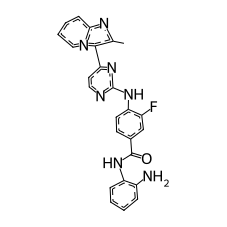 Cc1nc2ccccn2c1-c1ccnc(Nc2ccc(C(=O)Nc3ccccc3N)cc2F)n1